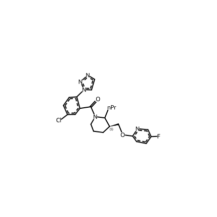 CCCC1[C@@H](COc2ccc(F)cn2)CCCN1C(=O)c1cc(Cl)ccc1-n1ccnn1